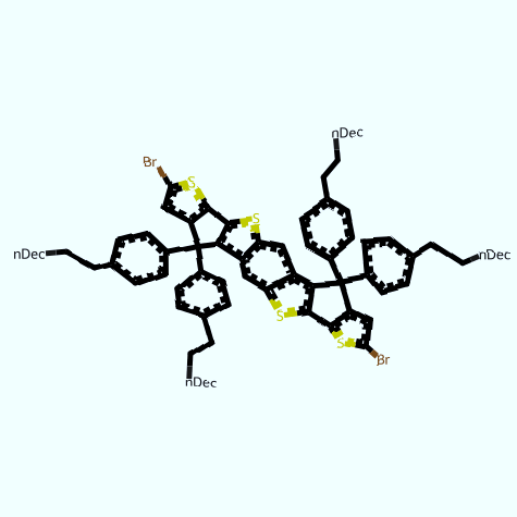 CCCCCCCCCCCCc1ccc(C2(c3ccc(CCCCCCCCCCCC)cc3)c3cc(Br)sc3-c3sc4cc5c6c(sc5cc4c32)-c2sc(Br)cc2C6(c2ccc(CCCCCCCCCCCC)cc2)c2ccc(CCCCCCCCCCCC)cc2)cc1